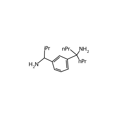 CCCC(N)(CCC)c1cccc(C(N)C(C)C)c1